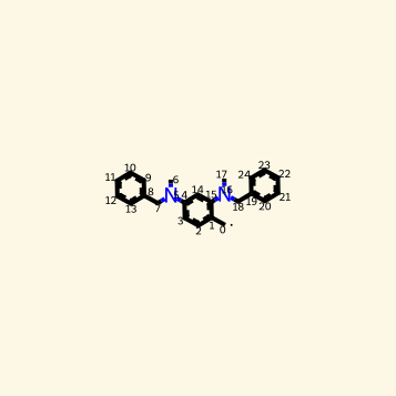 [CH2]c1ccc(N(C)Cc2ccccc2)cc1N(C)Cc1ccccc1